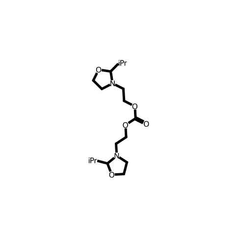 CC(C)C1OCCN1CCOC(=O)OCCN1CCOC1C(C)C